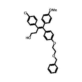 COc1ccc(C(=C(CCO)c2ccc(Cl)cc2)c2ccc(OCCOCc3ccccc3)cc2)cc1